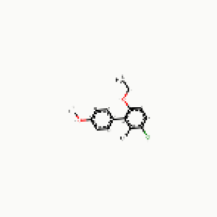 CCOc1ccc(Cl)c(C)c1-c1ccc(OC)cc1